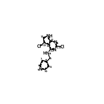 Clc1nc(NCc2ccncc2)c2c(Cl)c[nH]c2n1